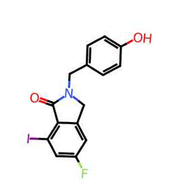 O=C1c2c(I)cc(F)cc2CN1Cc1ccc(O)cc1